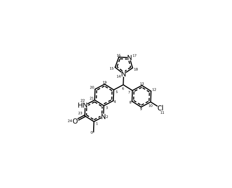 Cc1nc2cc(C(c3ccc(Cl)cc3)n3ccnc3)ccc2[nH]c1=O